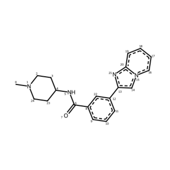 CN1CCC(NC(=O)c2cccc(-c3cn4ccccc4n3)c2)CC1